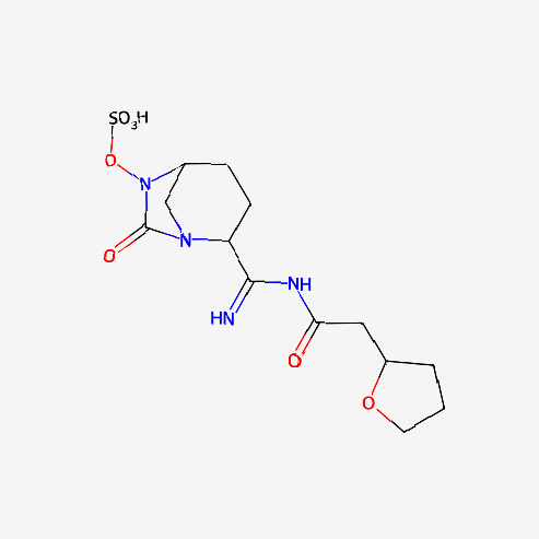 N=C(NC(=O)CC1CCCO1)C1CCC2CN1C(=O)N2OS(=O)(=O)O